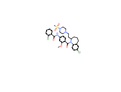 COc1cc(NC(=O)c2ccccc2Cl)ccc1C(=O)N1c2ccc(Cl)cc2CCCC1CCN1CCN(S(C)(=O)=O)CC1